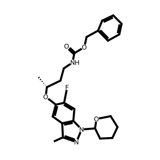 Cc1nn(C2CCCCO2)c2cc(F)c(O[C@H](C)CCNC(=O)OCc3ccccc3)cc12